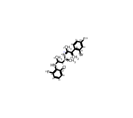 C=C(/C(C)=N\N(C)CC(C)Nc1c(F)cccc1Cl)c1ccc(F)cc1Br